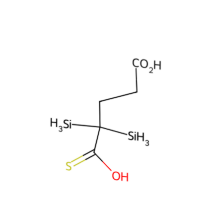 O=C(O)CCC([SiH3])([SiH3])C(O)=S